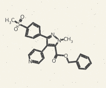 Cn1nc(-c2ccc(S(C)(=O)=O)cc2)c(-c2ccncc2)c1C(=O)OCc1ccccc1